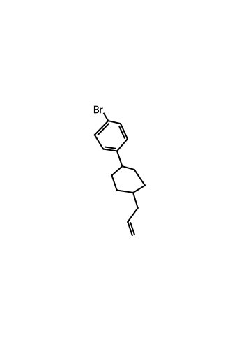 C=CCC1CCC(c2ccc(Br)cc2)CC1